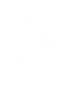 O=C(O)CNC(=O)CCOc1no[n+]([O-])c1S(=O)(=O)c1ccccc1